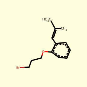 CC(=Cc1ccccc1OCCCBr)C(=O)O